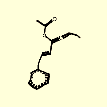 CC=C=C(C=Cc1ccccc1)OC(C)=O